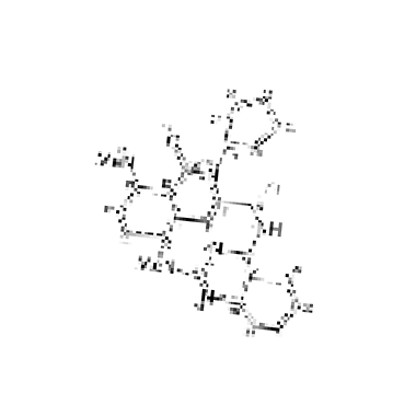 CNc1nc(N[C@@H](C)c2cc3cccc(NC)c3c(=O)n2-c2ccccc2)c2ncccc2n1